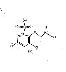 Cl.O=C(O)COc1c(Cl)cc(Cl)cc1S(=O)(=O)O